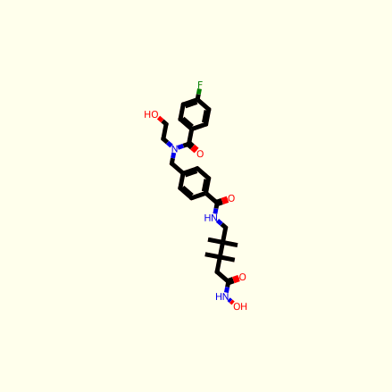 CC(C)(CNC(=O)c1ccc(CN(CCO)C(=O)c2ccc(F)cc2)cc1)C(C)(C)CC(=O)NO